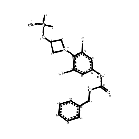 CC(C)(C)[Si](C)(C)OC1CN(c2c(F)cc(NC(=O)OCc3ccccc3)cc2F)C1